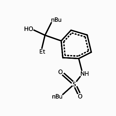 [CH2]CC(O)(CCCC)c1cccc(NS(=O)(=O)CCCC)c1